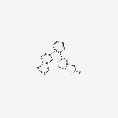 FC(F)Oc1cccc(-c2ncccc2-c2ccc3ncncc3c2)c1